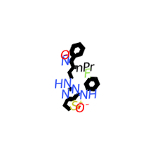 CCCC(CCNc1nc2c(c(Nc3cccc(F)c3)n1)[S+]([O-])CC2)c1noc2ccccc12